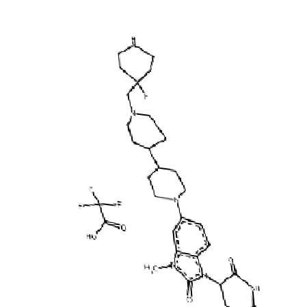 Cn1c(=O)n(C2CCC(=O)NC2=O)c2ccc(N3CCC(C4CCN(CC5(F)CCNCC5)CC4)CC3)cc21.O=C(O)C(F)(F)F